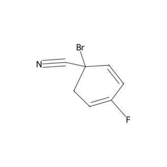 N#CC1(Br)C=CC(F)=CC1